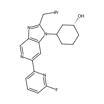 CC(C)Cc1nc2cnc(-c3cccc(F)n3)cc2n1C1CCC[C@@H](O)C1